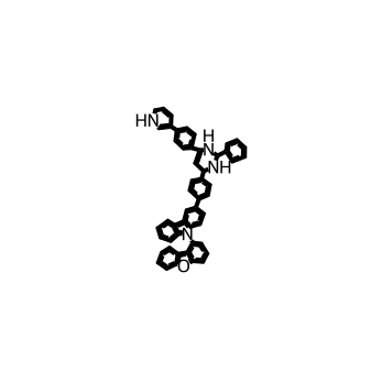 C1=CC(c2ccc(C3=CC(c4ccc(-c5ccc6c(c5)c5ccccc5n6-c5cccc6oc7ccccc7c56)cc4)NC(c4ccccc4)N3)cc2)=CNC1